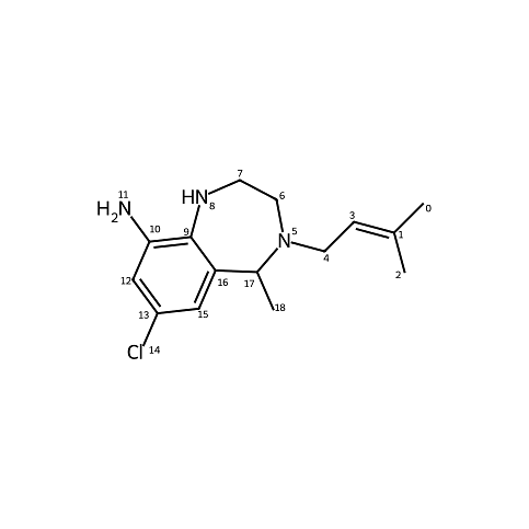 CC(C)=CCN1CCNc2c(N)cc(Cl)cc2C1C